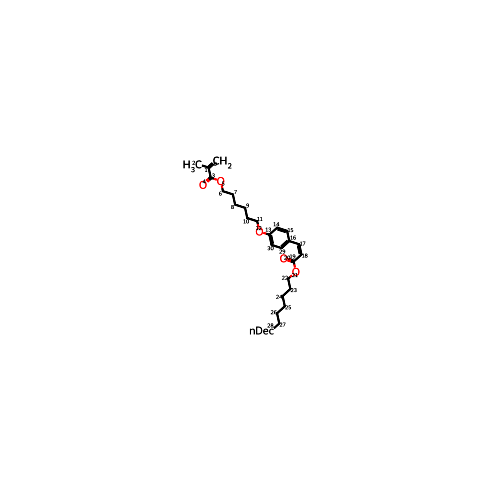 C=C(C)C(=O)OCCCCCCOc1ccc(/C=C\C(=O)OCCCCCCCCCCCCCCCC)cc1